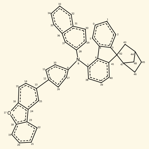 c1ccc2c(c1)-c1c(N(c3ccc(-c4ccc5oc6ccccc6c5c4)cc3)c3ccc4ccccc4c3)cccc1C21CC2CCC1C2